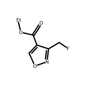 CCOC(=O)c1conc1CF